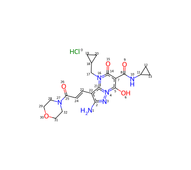 Cl.Nc1nn2c(O)c(C(=O)NC3CC3)c(=O)n(CC3CC3)c2c1C=CC(=O)N1CCOCC1